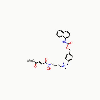 COC(=O)/C=C/C(=O)N(O)CCCC[N+](C)(C)Cc1ccc(COC(=O)Nc2cccc3ccccc23)cc1